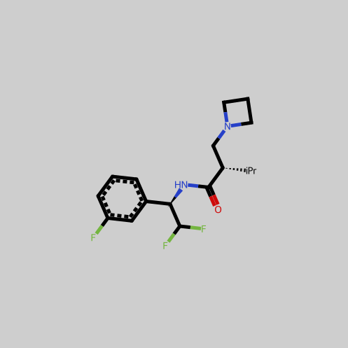 CC(C)[C@@H](CN1CCC1)C(=O)N[C@H](c1cccc(F)c1)C(F)F